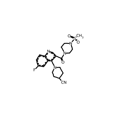 CS(=O)(=O)N1CCN(C(=O)c2cnc3ccc(F)cc3c2N2CCC(C#N)CC2)CC1